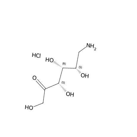 Cl.NC[C@H](O)[C@@H](O)[C@H](O)C(=O)CO